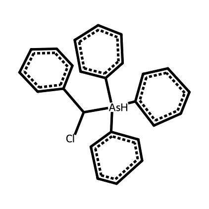 ClC(c1ccccc1)[AsH](c1ccccc1)(c1ccccc1)c1ccccc1